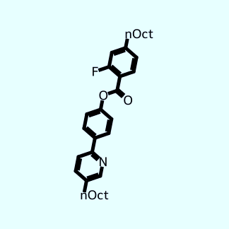 CCCCCCCCc1ccc(-c2ccc(OC(=O)c3ccc(CCCCCCCC)cc3F)cc2)nc1